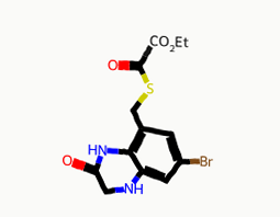 CCOC(=O)C(=O)SCc1cc(Br)cc2c1NC(=O)CN2